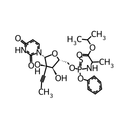 CC#C[C@@]1(O)[C@H](O)[C@@H](COP(=S)(NC(C)C(=O)OC(C)C)Oc2ccccc2)O[C@H]1n1ccc(=O)[nH]c1=O